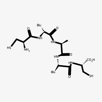 CC[C@H](C)[C@H](NC(=O)[C@H](C)NC(=O)[C@@H](NC(=O)[C@@H](N)CS)[C@@H](C)CC)C(=O)N[C@@H](CS)C(=O)O